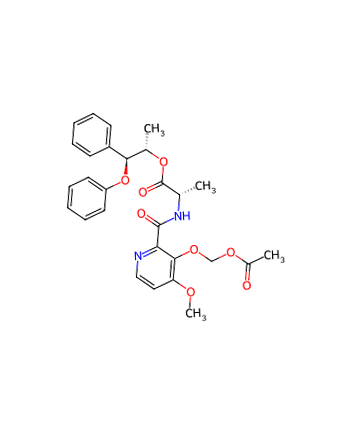 COc1ccnc(C(=O)N[C@@H](C)C(=O)O[C@@H](C)[C@@H](Oc2ccccc2)c2ccccc2)c1OCOC(C)=O